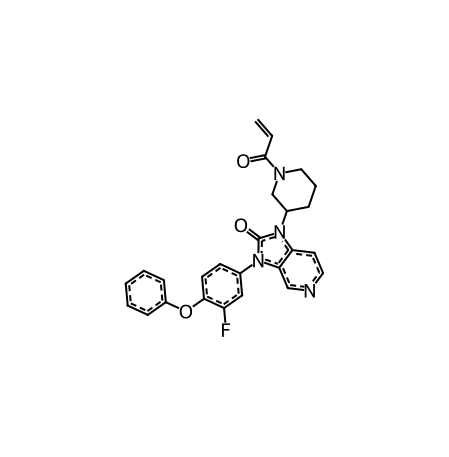 C=CC(=O)N1CCCC(n2c(=O)n(-c3ccc(Oc4ccccc4)c(F)c3)c3cnccc32)C1